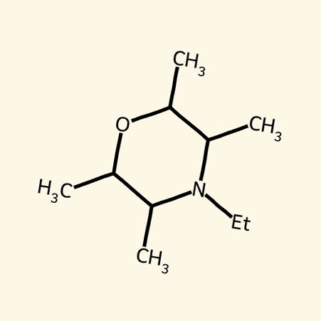 CCN1C(C)C(C)OC(C)C1C